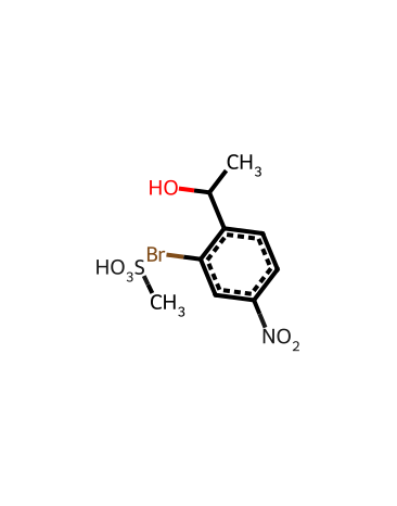 CC(O)c1ccc([N+](=O)[O-])cc1Br.CS(=O)(=O)O